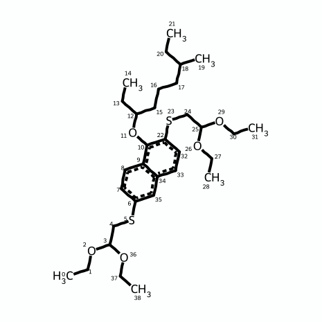 CCOC(CSc1ccc2c(OC(CC)CCCC(C)CC)c(SCC(OCC)OCC)ccc2c1)OCC